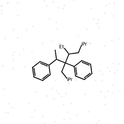 CCC(CC(C)C)C(CC(C)C)(c1ccccc1)C(C)c1ccccc1